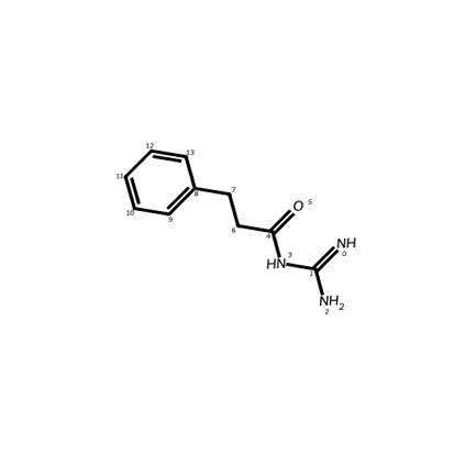 N=C(N)NC(=O)CCc1ccccc1